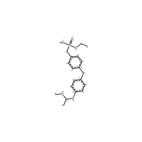 CCOP(=O)(O)Cc1ccc(Cc2ccc(OC(C)OC)cc2)cc1